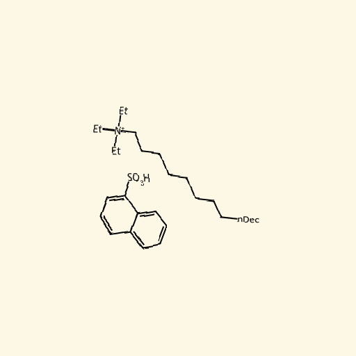 CCCCCCCCCCCCCCCCCC[N+](CC)(CC)CC.O=S(=O)(O)c1cccc2ccccc12